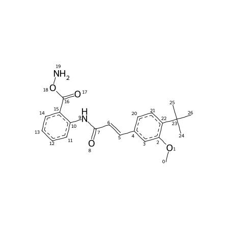 COc1cc(/C=C/C(=O)Nc2ccccc2C(=O)ON)ccc1C(C)(C)C